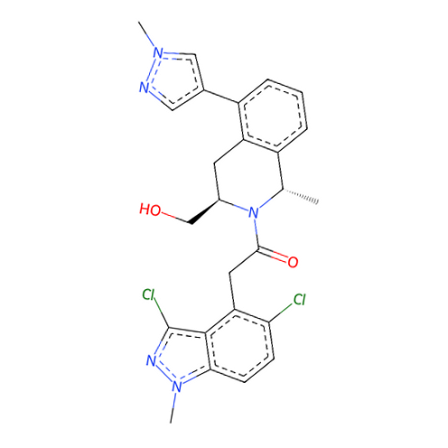 C[C@H]1c2cccc(-c3cnn(C)c3)c2C[C@H](CO)N1C(=O)Cc1c(Cl)ccc2c1c(Cl)nn2C